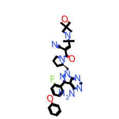 CC(C)(C=C(C#N)C(=O)N1CCC[C@@H]1Cn1nc(-c2ccc(Oc3ccccc3)cc2F)c2c(N)ncnc21)N1CC2(COC2)C1